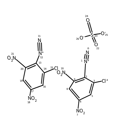 N#[N+]c1c(Cl)cc([N+](=O)[O-])cc1[N+](=O)[O-].N#[N+]c1c(Cl)cc([N+](=O)[O-])cc1[N+](=O)[O-].O=S(=O)([O-])[O-]